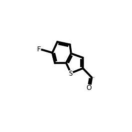 O=[C]c1cc2ccc(F)cc2s1